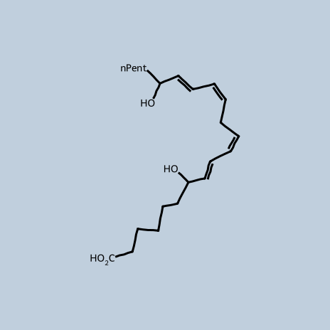 CCCCCC(O)/C=C/C=C\C/C=C\C=C\C(O)CCCCCC(=O)O